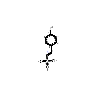 O=S(=O)(Cl)/C=C/c1ccc(I)cc1